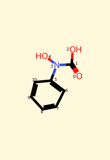 O=C(O)N(O)c1ccccc1